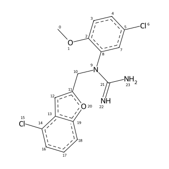 COc1ccc(Cl)cc1N(Cc1cc2c(Cl)cccc2o1)C(=N)N